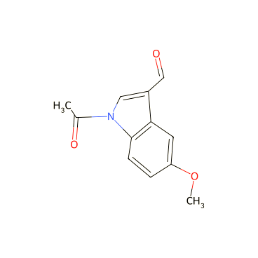 COc1ccc2c(c1)c(C=O)cn2C(C)=O